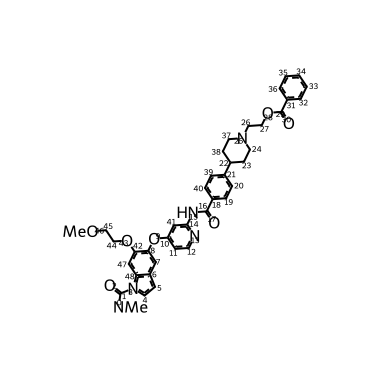 CNC(=O)n1ccc2cc(Oc3ccnc(NC(=O)c4ccc(C5CCN(CCOC(=O)c6ccccc6)CC5)cc4)c3)c(OCCOC)cc21